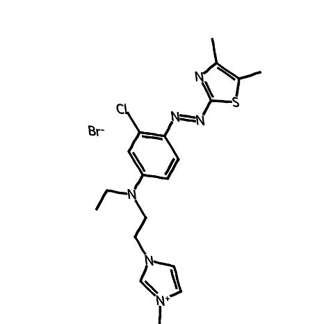 CCN(CCn1cc[n+](C)c1)c1ccc(N=Nc2nc(C)c(C)s2)c(Cl)c1.[Br-]